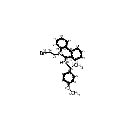 COc1ccc([C@@H](C)Nc2c3ccccc3c3ccccc3[n+]2CCBr)cc1